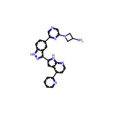 NC1CN(c2cncc(-c3ccc4[nH]nc(-c5cc6c(-c7ccccn7)ccnc6[nH]5)c4c3)n2)C1